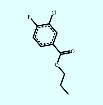 CCCOC(=O)c1ccc(F)c(Cl)c1